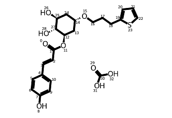 O=C(/C=C/c1ccc(O)cc1)O[C@@H]1C[C@@H](OCCCc2cccs2)C[C@H](O)[C@H]1O.O=C(O)O